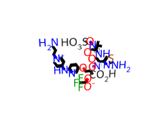 CC1(C)[C@H](NC(=O)/C(=N\OC(COc2ccc(Nc3cc[n+](CCCN)cc3)nc2)C(=O)O)c2csc(N)n2)C(=O)N1OS(=O)(=O)O.O=C([O-])C(F)(F)F